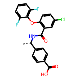 C[C@H](NC(=O)c1cc(Cl)ccc1Oc1c(F)cccc1F)c1ccc(C(=O)O)cc1